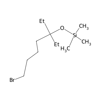 CCC(CC)(CCCCBr)O[Si](C)(C)C